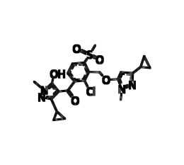 Cn1nc(C2CC2)cc1OCc1c(S(C)(=O)=O)ccc(C(=O)c2c(C3CC3)nn(C)c2O)c1Cl